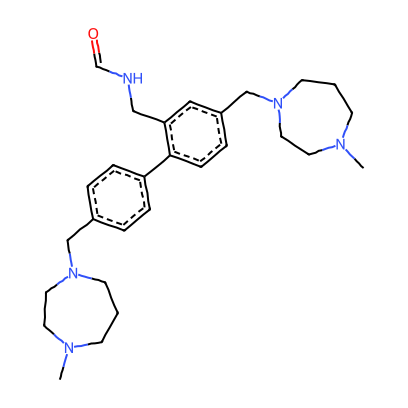 CN1CCCN(Cc2ccc(-c3ccc(CN4CCCN(C)CC4)cc3CNC=O)cc2)CC1